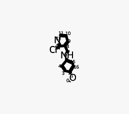 COc1ccc(NCc2cccnc2Cl)cc1